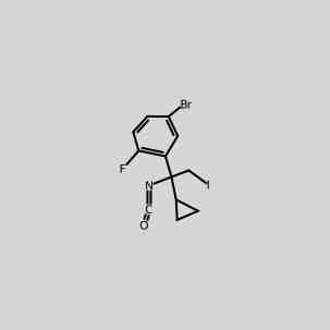 O=C=NC(CI)(c1cc(Br)ccc1F)C1CC1